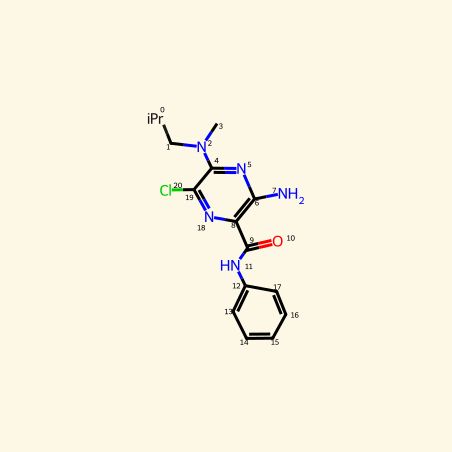 CC(C)CN(C)c1nc(N)c(C(=O)Nc2ccccc2)nc1Cl